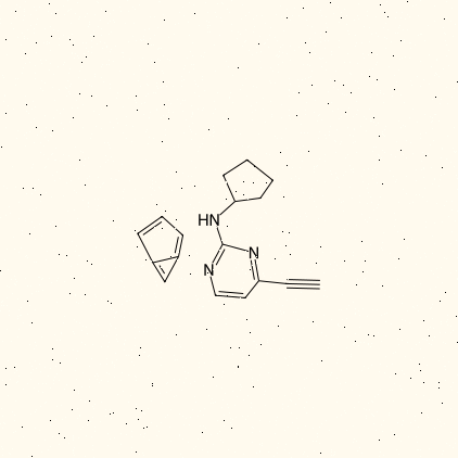 C#Cc1ccnc(NC2CCCC2)n1.c1cc2cc-2c1